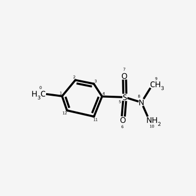 Cc1ccc(S(=O)(=O)N(C)N)cc1